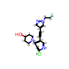 OC1CCN(c2cc(Cl)ncc2C#Cc2cnn(CCF)c2)CC1